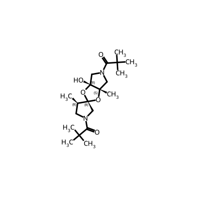 C[C@@H]1CN(C(=O)C(C)(C)C)C[C@]12O[C@]1(O)CN(C(=O)C(C)(C)C)C[C@]1(C)O2